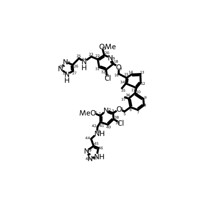 COc1nc(OCc2cccc(-c3cccc(COc4nc(OC)c(CNCc5c[nH]nn5)cc4Cl)c3C)c2C)c(Cl)cc1CNCc1c[nH]nn1